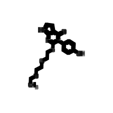 CCOCCOCCSc1nc2[nH]ccc2c(=O)n1-c1ccc(O)cc1